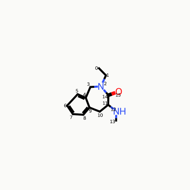 CCN1Cc2ccccc2CC(NC)C1=O